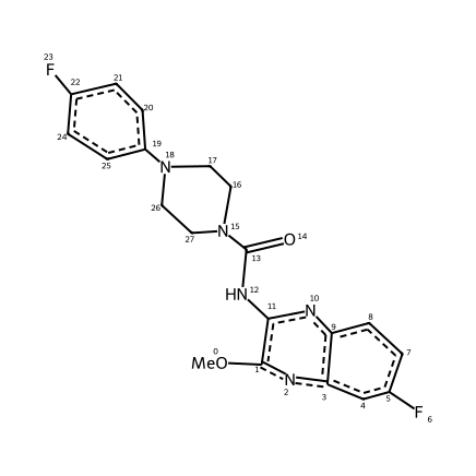 COc1nc2cc(F)ccc2nc1NC(=O)N1CCN(c2ccc(F)cc2)CC1